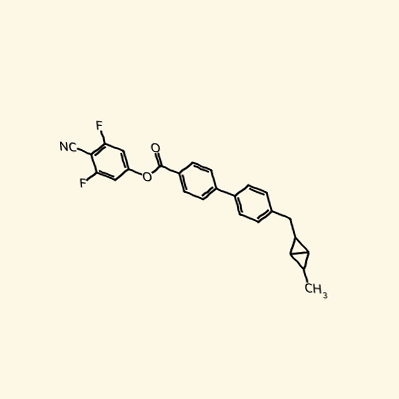 CC1C2C(Cc3ccc(-c4ccc(C(=O)Oc5cc(F)c(C#N)c(F)c5)cc4)cc3)C12